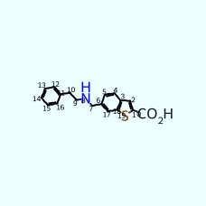 O=C(O)c1cc2ccc(CNCCc3ccccc3)cc2s1